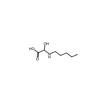 CCCCCNC(O)C(=O)O